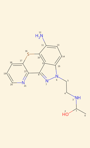 CC(O)NCCn1nc2c3c(c(N)ccc31)Sc1cccnc1-2